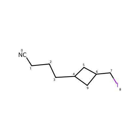 N#CCCCC1CC(CI)C1